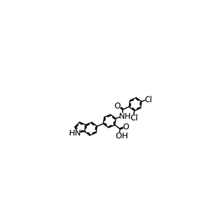 O=C(Nc1ccc(-c2ccc3[nH]ccc3c2)cc1C(=O)O)c1ccc(Cl)cc1Cl